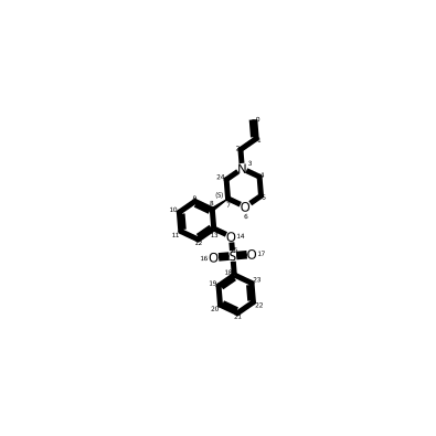 C=CCN1CCO[C@@H](c2ccccc2OS(=O)(=O)c2ccccc2)C1